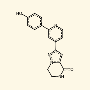 O=C1NCCn2nc(-c3ccnc(-c4ccc(O)cc4)c3)cc21